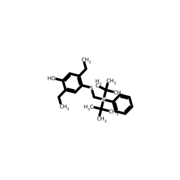 CCc1cc(SC[Si](c2ccccc2)(C(C)(C)C)C(C)(C)C)c(CC)cc1O